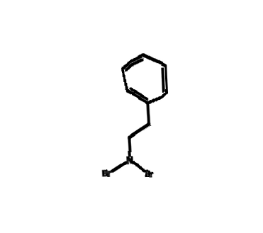 BrN(Br)CCc1ccccc1